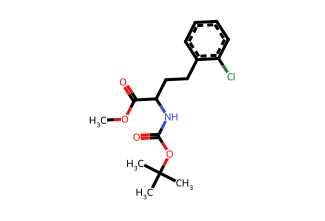 COC(=O)C(CCc1ccccc1Cl)NC(=O)OC(C)(C)C